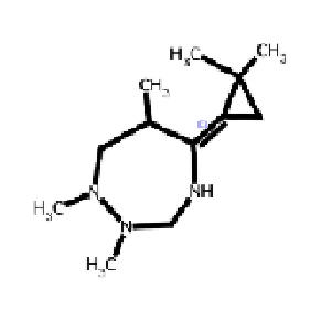 CC1CN(C)N(C)CN/C1=C1\CC1(C)C